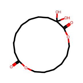 O=C1CCCCCCCC(O)(O)C(=O)OCCCCCCO1